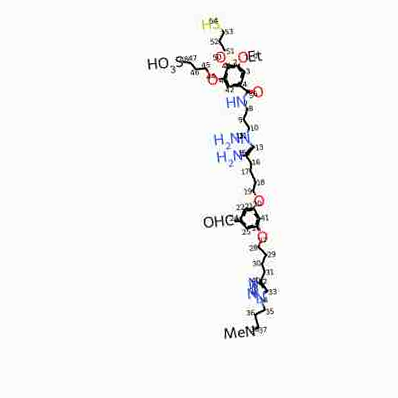 CCOc1cc(C(=O)NCCCN(N)/C=C(\N)CCCCOc2cc(C=O)cc(OCCCCc3cn(CCCNC)nn3)c2)cc(OCCCS(=O)(=O)O)c1OCCCS